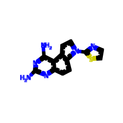 Nc1nc(N)c2c(ccc3c2ccn3-c2nccs2)n1